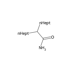 CCCCCCCC(CCCCCCC)C(N)=O